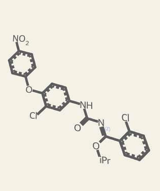 CC(C)O/C(=N\C(=O)Nc1ccc(Oc2ccc([N+](=O)[O-])cc2)c(Cl)c1)c1ccccc1Cl